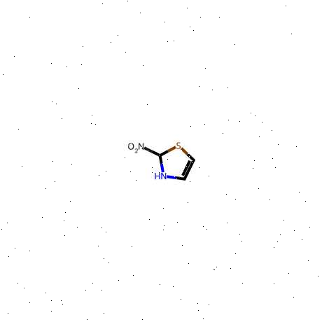 O=[N+]([O-])C1NC=CS1